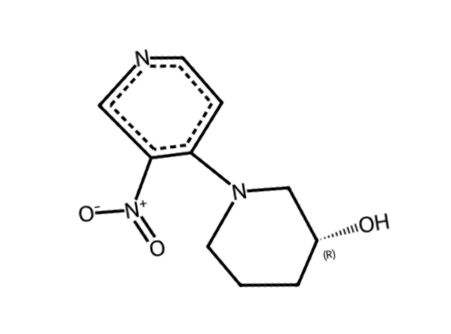 O=[N+]([O-])c1cnccc1N1CCC[C@@H](O)C1